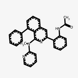 CC(=O)Nc1ccccc1-c1cc2cccc(-c3ccccc3)c2c(N(C)c2ccccn2)n1